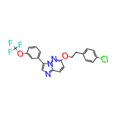 FC(F)(F)Oc1cccc(-c2cnc3ccc(OCCc4ccc(Cl)cc4)nn23)c1